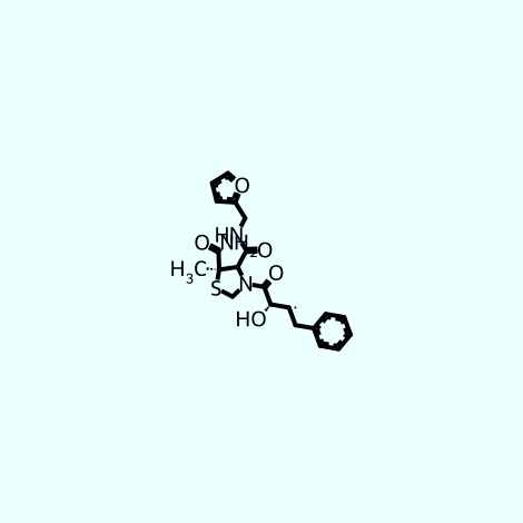 C[C@@]1(C(N)=O)SCN(C(=O)[C@@H](O)[CH]Cc2ccccc2)C1C(=O)NCc1ccco1